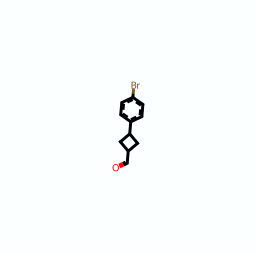 O=CC1CC(c2ccc(Br)cc2)C1